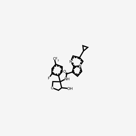 O=C(NC1(c2ccc(C(F)(F)F)cc2F)COCC1O)c1ccn2cc(C3CC3)cnc12